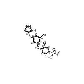 CCS(=O)(=O)c1ccc(Oc2cc(C)cc(Oc3nnn[nH]3)c2)c(Cl)c1